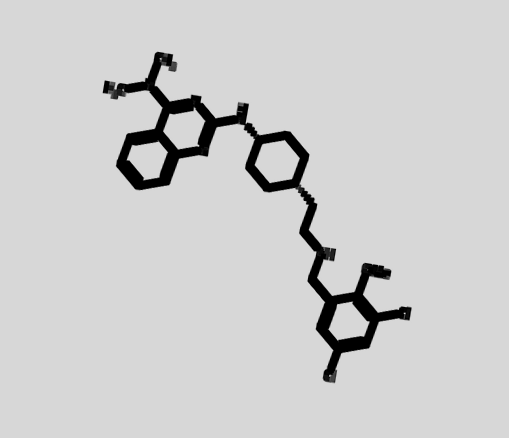 COc1c(Cl)cc(Cl)cc1CNCC[C@H]1CC[C@@H](Nc2nc(N(C)C)c3ccccc3n2)CC1